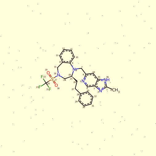 Cc1nc2cnc(CN3c4ccccc4CN(S(=O)(=O)C(F)(F)F)C[C@@H]3CCc3ccccc3)cc2[nH]1